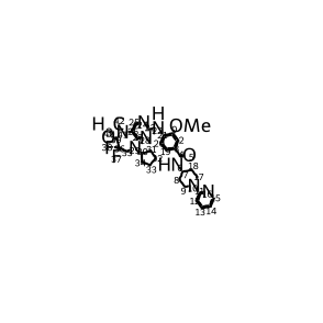 COc1cc(C(=O)NC2CCN(c3ccccn3)CC2)ccc1Nc1ncc2c(n1)N(C1CCCC1)CC(F)(F)C(=O)N2C